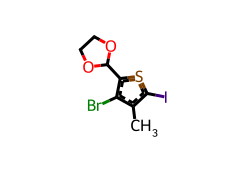 Cc1c(I)sc(C2OCCO2)c1Br